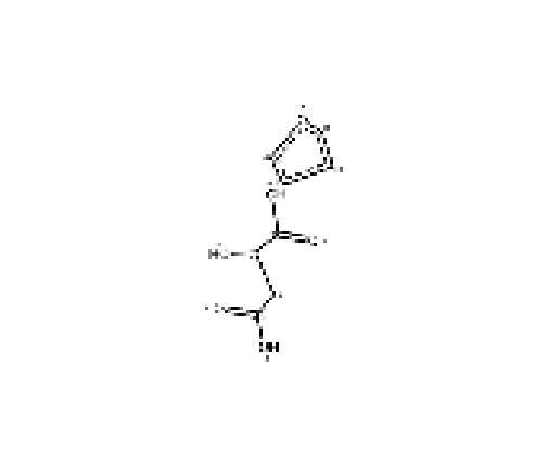 O=C(O)CC(O)C(=O)O.c1ccoc1